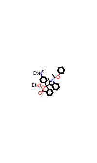 CCOc1cc(N(CC)CC)ccc1C1(c2c(C)n(C(C)Oc3ccccc3)c3ccccc23)OC(=O)c2ccccc21